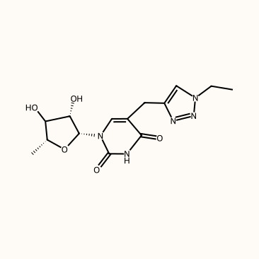 CCn1cc(Cc2cn([C@@H]3O[C@H](C)C(O)[C@@H]3O)c(=O)[nH]c2=O)nn1